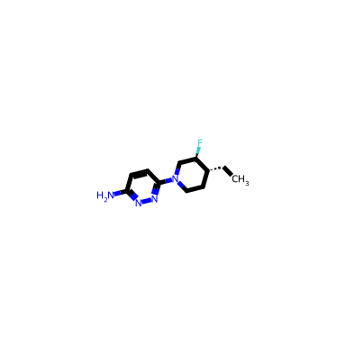 CC[C@@H]1CCN(c2ccc(N)nn2)C[C@H]1F